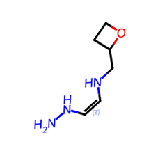 NN/C=C\NCC1CCO1